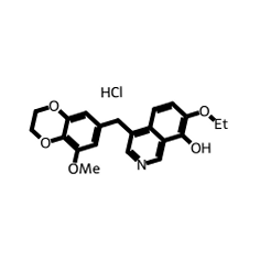 CCOc1ccc2c(Cc3cc(OC)c4c(c3)OCCO4)cncc2c1O.Cl